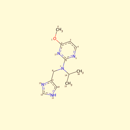 COc1ccnc(N(Cc2c[nH]cn2)C(C)C)n1